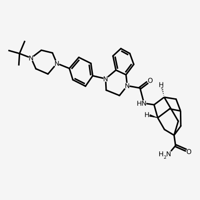 CC(C)(C)N1CCN(c2ccc(N3CCN(C(=O)NC4[C@@H]5CC6C[C@H]4CC(C(N)=O)(C6)C5)c4ccccc43)cc2)CC1